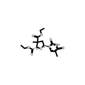 CCOC(=O)[C@H]1O[C@H](n2cc(C)c(=O)[nH]c2=O)CC1(C)C(=O)OCC